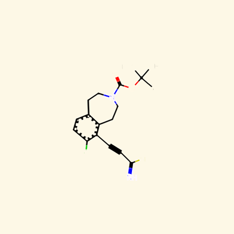 CC(C)(C)OC(=O)N1CCc2ccc(Cl)c(C#CC(=N)S)c2CC1